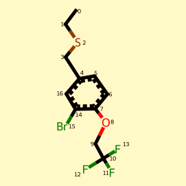 CCSCc1ccc(OCC(F)(F)F)c(Br)c1